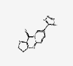 O=c1c2c(nc3ccc(-c4nnn[nH]4)cn13)CCS2